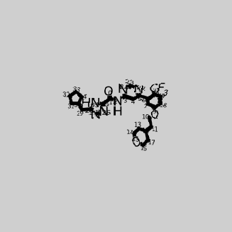 O=C(Nc1cc(-c2cc(OCCC3CCOCC3)ccc2C(F)(F)F)ncn1)c1nnc(CC2CCCC2)[nH]1